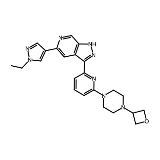 CCn1cc(-c2cc3c(-c4cccc(N5CCN(C6COC6)CC5)n4)n[nH]c3cn2)cn1